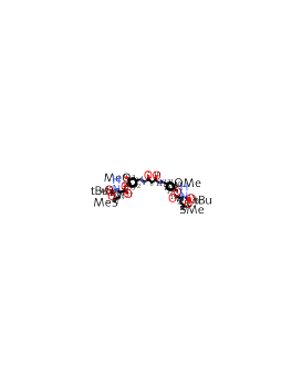 COc1cc(/C=C/C(=O)CC(=O)/C=C/c2ccc(OC(=O)[C@H](CCSC)NC(=O)OC(C)(C)C)c(OC)c2)ccc1OC(=O)[C@H](CCSC)NC(=O)OC(C)(C)C